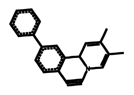 CC1=CC2c3cc(-c4ccccc4)ccc3C#CN2C=C1C